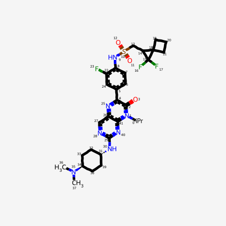 CC(C)n1c(=O)c(-c2ccc(NS(=O)(=O)CC3C(F)(F)C34CCC4)c(F)c2)nc2cnc(N[C@H]3CC[C@H](N(C)C)CC3)nc21